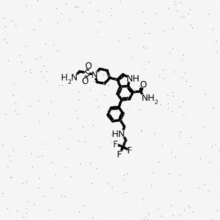 NCS(=O)(=O)N1CCC(c2c[nH]c3c(C(N)=O)cc(-c4cccc(CNCC(F)(F)F)c4)cc23)CC1